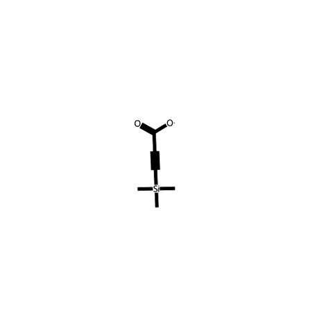 C[Si](C)(C)C#CC([O])=O